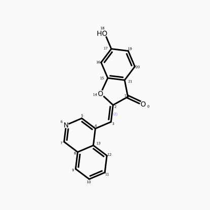 O=C1/C(=C/c2cncc3ccccc23)Oc2cc(O)ccc21